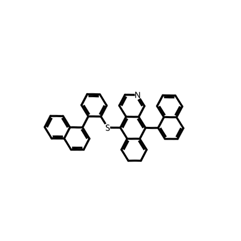 C1=c2c(Sc3ccccc3-c3cccc4ccccc34)c3ccncc3c(-c3cccc4ccccc34)c2=CCC1